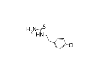 NC(=S)NCCc1ccc(Cl)cc1